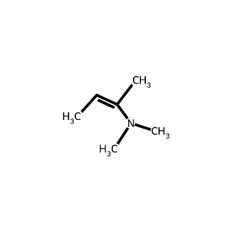 CC=C(C)N(C)C